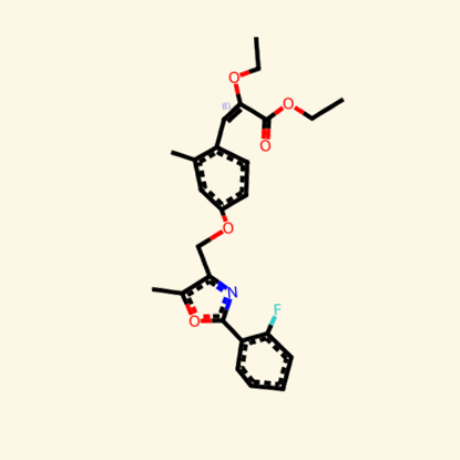 CCOC(=O)/C(=C\c1ccc(OCc2nc(-c3ccccc3F)oc2C)cc1C)OCC